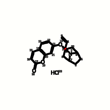 C=CCN1C2CCC1CC(Oc1ccc3ccc(=O)oc3c1)C2.Cl